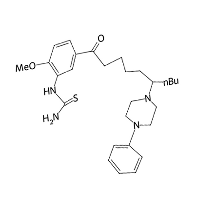 CCCCC(CCCCC(=O)c1ccc(OC)c(NC(N)=S)c1)N1CCN(c2ccccc2)CC1